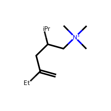 C=C(CC)CC(C[N+](C)(C)C)C(C)C